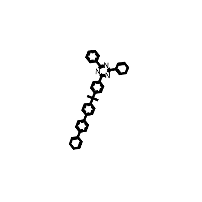 CC(C)(c1ccc(-c2ccc(C3=CCCC=C3)cc2)cc1)c1ccc(-c2nc(C3=CCCC=C3)nc(-c3ccccc3)n2)cc1